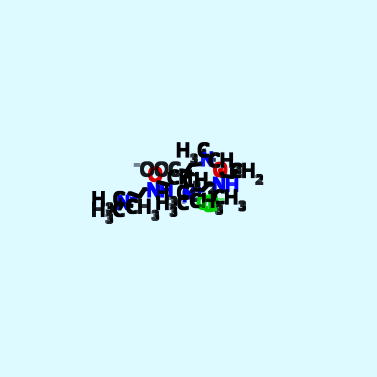 C=C(CCN(C)C)C(=O)[O-].C=CC(=O)NCCC[N+](C)(C)C.C=CC(=O)NCCC[N+](C)(C)C.CCl.[Cl-]